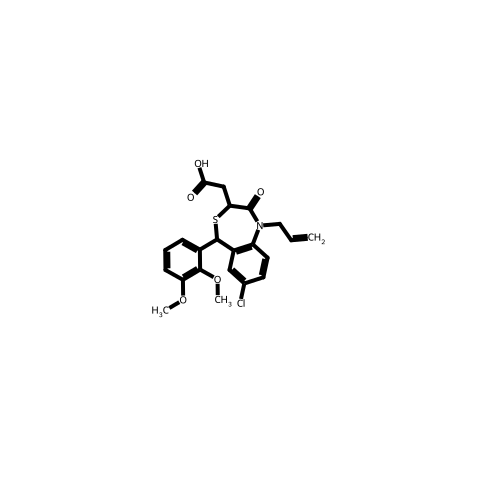 C=CCN1C(=O)C(CC(=O)O)SC(c2cccc(OC)c2OC)c2cc(Cl)ccc21